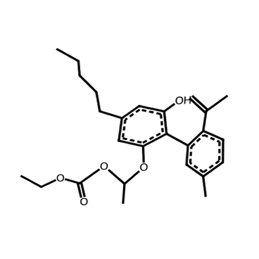 C=C(C)c1ccc(C)cc1-c1c(O)cc(CCCCC)cc1OC(C)OC(=O)OCC